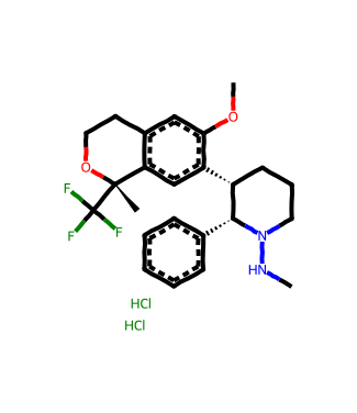 CNN1CCC[C@@H](c2cc3c(cc2OC)CCO[C@@]3(C)C(F)(F)F)[C@H]1c1ccccc1.Cl.Cl